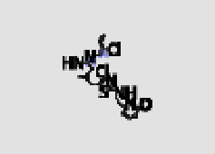 C=C/C(Cl)=C\N=C(/CC(=C)Cc1sc(NCc2cccc(OC)n2)nc1Cl)NC